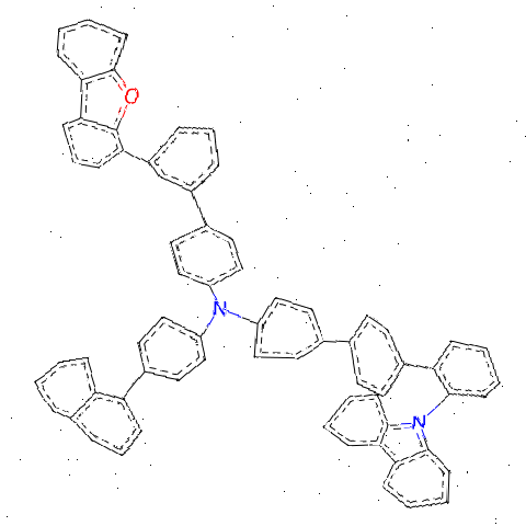 c1cc(-c2ccc(N(c3ccc(-c4ccc(-c5ccccc5-n5c6ccccc6c6ccccc65)cc4)cc3)c3ccc(-c4cccc5ccccc45)cc3)cc2)cc(-c2cccc3c2oc2ccccc23)c1